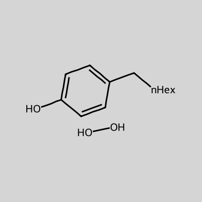 CCCCCCCc1ccc(O)cc1.OO